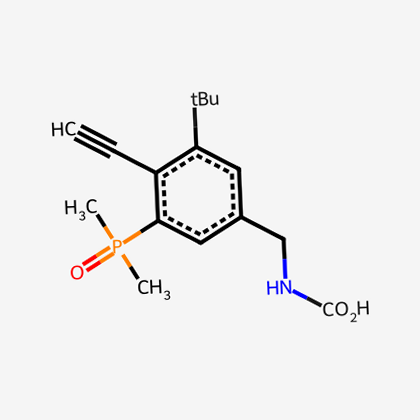 C#Cc1c(C(C)(C)C)cc(CNC(=O)O)cc1P(C)(C)=O